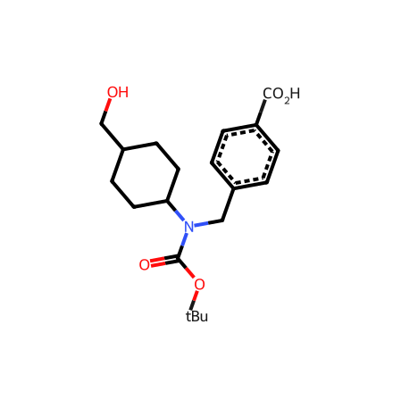 CC(C)(C)OC(=O)N(Cc1ccc(C(=O)O)cc1)C1CCC(CO)CC1